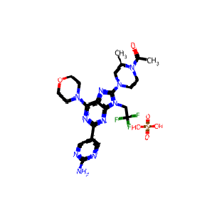 CC(=O)N1CCN(c2nc3c(N4CCOCC4)nc(-c4cnc(N)nc4)nc3n2CC(F)(F)F)C[C@H]1C.O=S(=O)(O)O